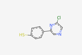 Sc1ccc(-c2cncc(Cl)n2)cc1